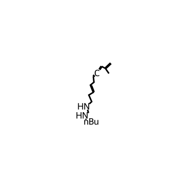 C=C(C)C=C=CCC=CCCNCNCCCC